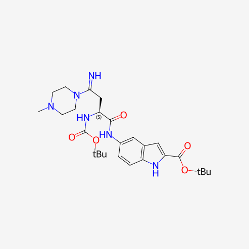 CN1CCN(C(=N)C[C@H](NC(=O)OC(C)(C)C)C(=O)Nc2ccc3[nH]c(C(=O)OC(C)(C)C)cc3c2)CC1